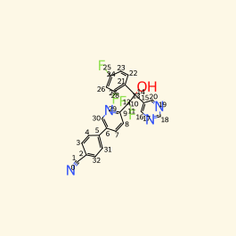 N#Cc1ccc(-c2ccc(C(F)(F)C(O)(c3cncnc3)c3ccc(F)cc3F)nc2)cc1